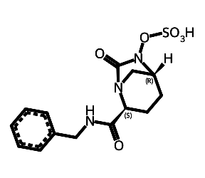 O=C(NCc1ccccc1)[C@@H]1CC[C@@H]2CN1C(=O)N2OS(=O)(=O)O